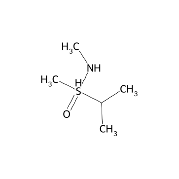 CN[SH](C)(=O)C(C)C